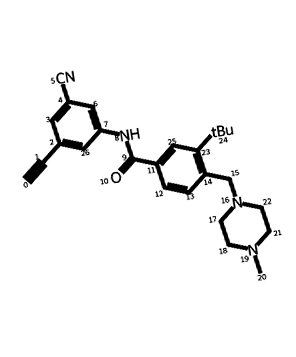 C#Cc1cc(C#N)cc(NC(=O)c2ccc(CN3CCN(C)CC3)c(C(C)(C)C)c2)c1